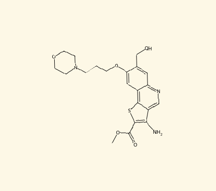 COC(=O)c1sc2c(cnc3cc(CO)c(OCCCN4CCOCC4)cc32)c1N